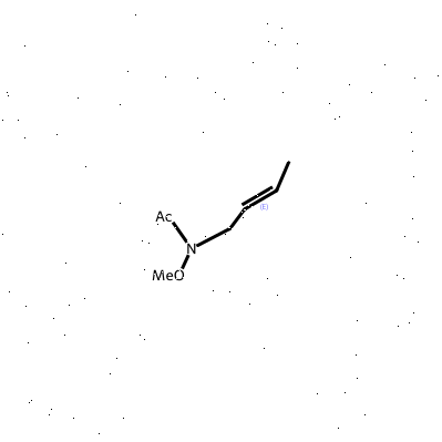 C/C=C/CN(OC)C(C)=O